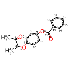 CC(=O)C(C)Oc1ccc(OC(=O)c2ccccc2)cc1